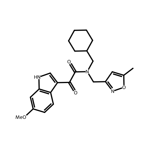 COc1ccc2c(C(=O)C(=O)N(Cc3cc(C)on3)CC3CCCCC3)c[nH]c2c1